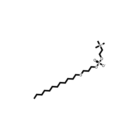 CCCCCCCCCCCCOCCCOP(=O)([O-])OCC[N+](C)(C)C